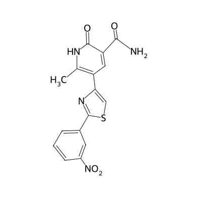 Cc1[nH]c(=O)c(C(N)=O)cc1-c1csc(-c2cccc([N+](=O)[O-])c2)n1